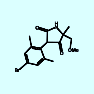 COCC1(C)NC(=O)C(c2c(C)cc(Br)cc2C)C1=O